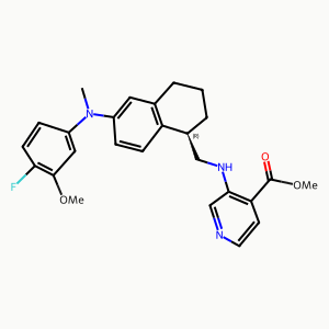 COC(=O)c1ccncc1NC[C@@H]1CCCc2cc(N(C)c3ccc(F)c(OC)c3)ccc21